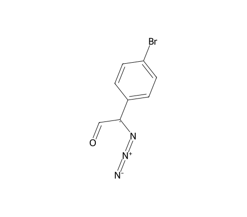 [N-]=[N+]=N[C](C=O)c1ccc(Br)cc1